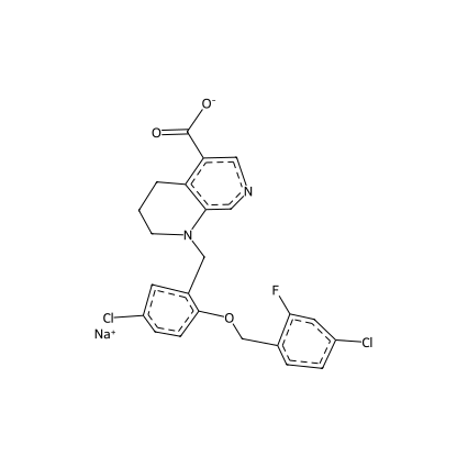 O=C([O-])c1cncc2c1CCCN2Cc1cc(Cl)ccc1OCc1ccc(Cl)cc1F.[Na+]